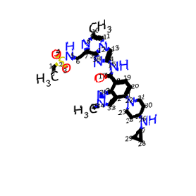 CCS(=O)(=O)NCc1nc(C)cn2cc(NC(=O)c3ccc(N4CCC(NC5CC5)CC4)c4cn(C)nc34)nc12